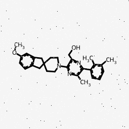 COc1ccc2c(c1)CC1(CCN(c3nc(C)c(-c4cccc(C)c4C)nc3CO)CC1)C2